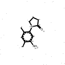 Cc1cc(C)c(N2CCCC2=O)cc1N